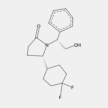 O=C1CC[C@@H](C2CCC(F)(F)CC2)N1[C@@H](CO)c1ccccc1